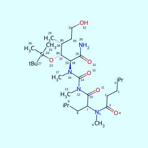 CC(C)CCC(=O)N(C)C(CC(C)C)C(=O)N(C)C(=O)N(C)[C@H](C(N)=O)[C@H](O[Si](C)(C)C(C)(C)C)[C@H](C)CCO